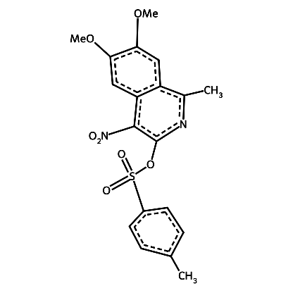 COc1cc2c(C)nc(OS(=O)(=O)c3ccc(C)cc3)c([N+](=O)[O-])c2cc1OC